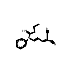 CCCC(=N)N(C=CC=C(C#N)C#N)c1ccccc1